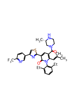 CCc1cccc(CC)c1-n1c(C=C(C)C)c(C(=O)N2CCN[C@@H](C)C2)cc(-c2nc(-c3ccc(C(F)(F)F)nc3)cs2)c1=O